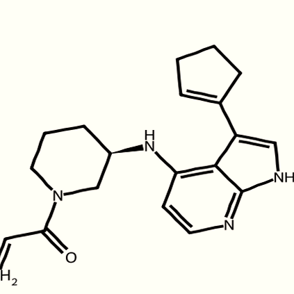 C=CC(=O)N1CCC[C@@H](Nc2ccnc3[nH]cc(C4=CCCC4)c23)C1